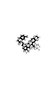 CC(C)(C)C(c1cc2c(cn1)OCCO2)N(CC1CN(CCn2c(=O)cnc3ccc(F)cc32)CCC1N)C(=O)O